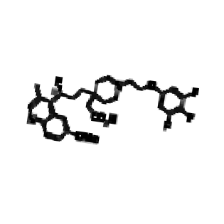 COc1ccc2ncc(C)c([C@@H](F)CCC3(CC(=O)O)CCN(CCOc4cc(F)c(F)c(F)c4)CC3)c2c1